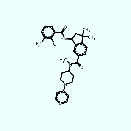 CN(C(=O)c1ccc2c(c1)C(NC(=O)c1cccc(C(F)(F)F)c1Cl)CC2(C)C)C1CCN(c2ccncc2)CC1